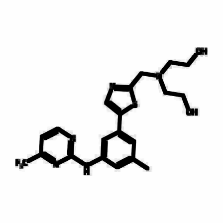 Cc1cc(Nc2nccc(C(F)(F)F)n2)cc(-c2cnc(CN(CCO)CCO)s2)c1